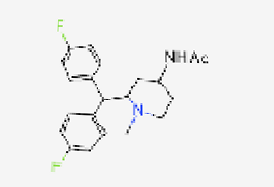 CC(=O)NC1CCN(C)C(C(c2ccc(F)cc2)c2ccc(F)cc2)C1